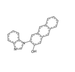 Oc1cc2cc3ccccc3cc2cc1-n1cnc2ccccc21